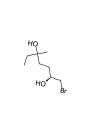 CCC(C)(O)CC[C@H](O)CBr